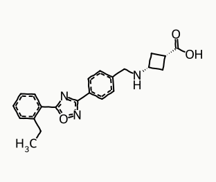 CCc1ccccc1-c1nc(-c2ccc(CN[C@H]3C[C@@H](C(=O)O)C3)cc2)no1